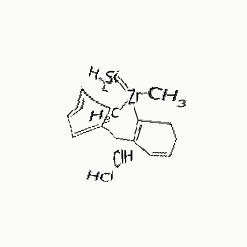 Cl.Cl.[CH3][Zr]([CH3])(=[SiH2])[C]1=C(CC2=CC=CC2)C=CC1